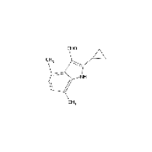 Cc1ccc(C)c2c(C=O)c(C3CC3)[nH]c12